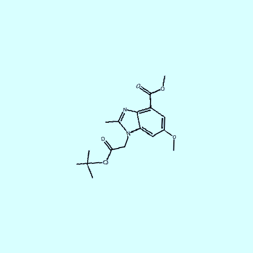 COC(=O)c1cc(OC)cc2c1nc(C)n2CC(=O)OC(C)(C)C